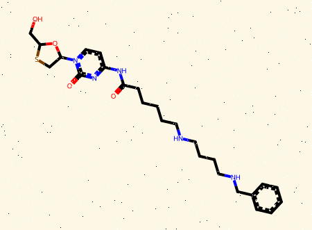 O=C(CCCCCNCCCCNCc1ccccc1)Nc1ccn(C2CSC(CO)O2)c(=O)n1